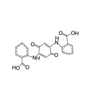 O=C1C=C(Nc2ccccc2C(=O)O)C(=O)C=C1Nc1ccccc1C(=O)O